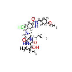 CCCCN1C(=O)[C@@H]([C@H](O)C(C)C)NC(=O)C12CCN(Cc1ccc(C(=O)NCc3ccc(OC)cc3)cc1)CC2.Cl